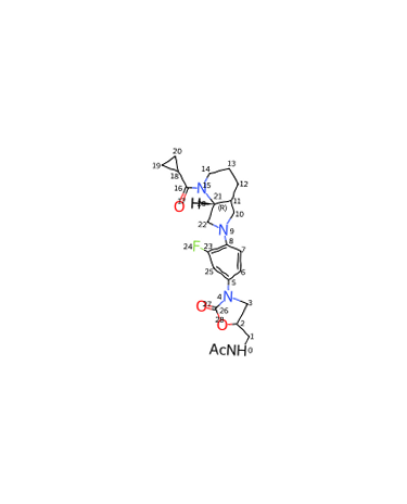 CC(=O)NCC1CN(c2ccc(N3CC4CCCN(C(=O)C5CC5)[C@H]4C3)c(F)c2)C(=O)O1